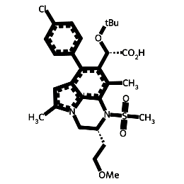 COCC[C@@H]1Cn2c(C)cc3c(-c4ccc(Cl)cc4)c([C@H](OC(C)(C)C)C(=O)O)c(C)c(c32)N1S(C)(=O)=O